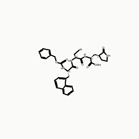 COC(=O)[C@H](C[C@@H]1CCNC1=O)NC(=O)[C@H](CC(C)C)NC(=O)[C@H](Cc1cccc2ccccc12)NC(=O)OCc1ccccc1